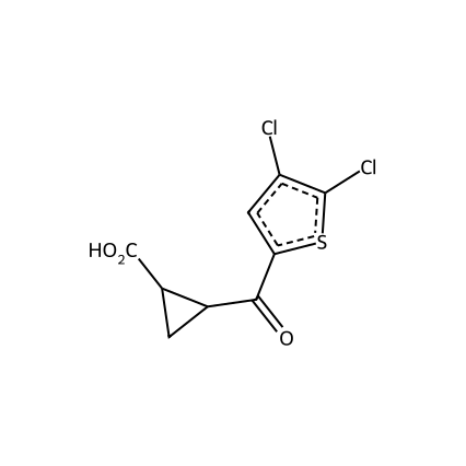 O=C(O)C1CC1C(=O)c1cc(Cl)c(Cl)s1